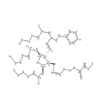 CCCCOC(C)OC(/C=C/[C@@H]1[C@@H](C/C=C\CCCC(=O)NCC)[C@@H](OC(C)OCCCC)C[C@H]1OC(C)OCCCC)CCc1ccccc1